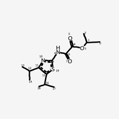 CC(C)OC(=O)C(=O)Nc1nc(C(C)C)c(C(C)C)s1